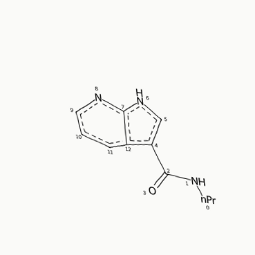 CCCNC(=O)c1c[nH]c2ncccc12